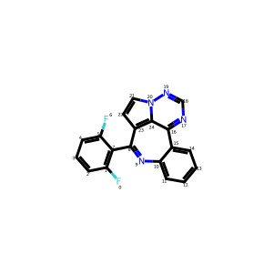 Fc1cccc(F)c1C1=Nc2ccccc2-c2ncnn3ccc1c23